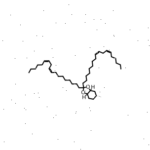 CCCCC/C=C\C/C=C\CCCCCCCCC1(CCCCCCCC/C=C\C/C=C\CCCCC)O[C@H]2CC[C@@H](C)C[C@H]2O1